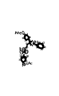 COc1ccc(-c2[nH]c(-c3ccccc3)nc2CCNS(=O)(=O)c2ccc(NC(C)=O)cc2)cc1